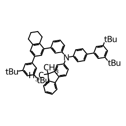 CC(C)(C)c1cc(-c2ccc(N(c3cccc(-c4cc(-c5cc(C(C)(C)C)cc(C(C)(C)C)c5)cc5c4CCCC5)c3)c3ccc4c(c3)C(C)(C)c3ccccc3-4)cc2)cc(C(C)(C)C)c1